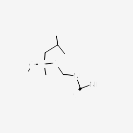 CO[Si](C)(CC(C)C)OCNC(N)=O